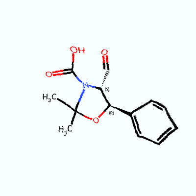 CC1(C)O[C@H](c2ccccc2)[C@@H](C=O)N1C(=O)O